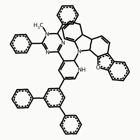 CN1C(c2ccccc2)=NC(C2=CC(c3cc(-c4ccccc4)cc(-c4ccccc4)c3)=CNC2N2C3=CC=CCC3C3C=Cc4c(oc5ccccc45)C32)=NC1c1ccccc1